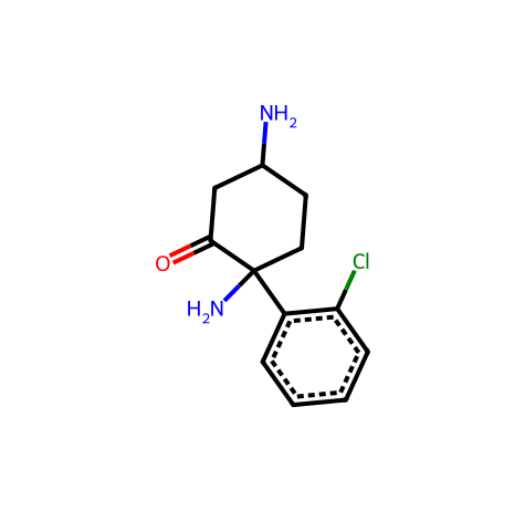 NC1CCC(N)(c2ccccc2Cl)C(=O)C1